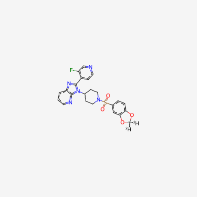 [2H]C1([2H])Oc2ccc(S(=O)(=O)N3CCC(n4c(-c5ccncc5F)nc5cccnc54)CC3)cc2O1